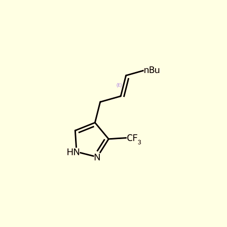 CCCC/C=C/Cc1c[nH]nc1C(F)(F)F